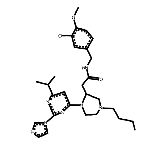 CCCCN1CCN(c2cc(C(C)C)nc(-n3ccnc3)n2)C(CC(=O)NCc2ccc(OC)c(Cl)c2)C1